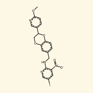 COc1ccc(C2COc3cc(CNc4ncc(I)cc4[N+](=O)[O-])ccc3O2)cn1